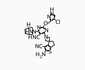 N#Cc1c(N2C[C@H]3CC[C@@H](C2)N3)nc(OCc2n[nH]cc2Cl)nc1N1CC2(CCc3sc(N)c(C#N)c32)C1